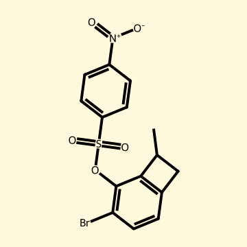 CC1Cc2ccc(Br)c(OS(=O)(=O)c3ccc([N+](=O)[O-])cc3)c21